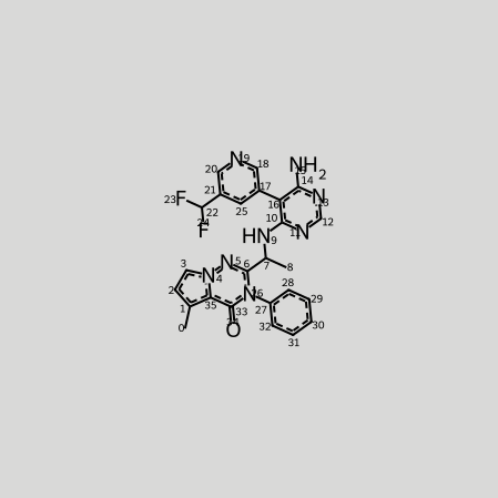 Cc1ccn2nc(C(C)Nc3ncnc(N)c3-c3cncc(C(F)F)c3)n(-c3ccccc3)c(=O)c12